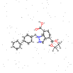 COC(=O)c1ccc(B2OC(C)(C)C(C)(C)O2)c2cnn(Cc3ccc(-c4ccccc4)cc3)c12